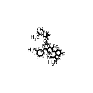 C[C@@H]1COCCN1CC1(COc2nc(N3CCCCC(N)C3)c3cnc(C4=C(F)C=C(F)C5SC(N)=C(C#N)C45)c(F)c3n2)CC1